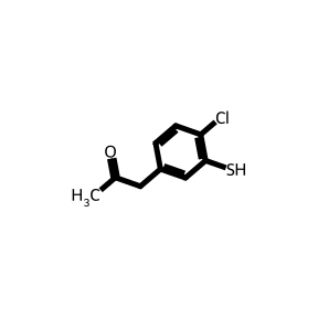 CC(=O)Cc1ccc(Cl)c(S)c1